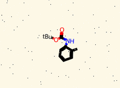 Cc1ccccc1NC(=O)OC(C)(C)C